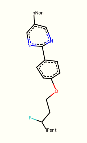 CCCCCCCCCc1cnc(-c2ccc(OCCC(F)C(C)CCC)cc2)nc1